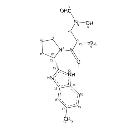 CCCC[C@@H](CN(O)C=O)C(=O)N1CCC[C@H]1c1nc2cc(C)ccc2[nH]1